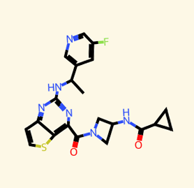 CC(Nc1nc(C(=O)N2CC(NC(=O)C3CC3)C2)c2sccc2n1)c1cncc(F)c1